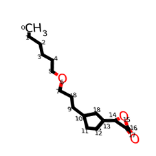 CCCCCCOC[CH]CC1C[CH]C(C2OC2=O)C1